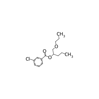 CCCOCC(CCC)OC(=O)c1cccc(Cl)c1